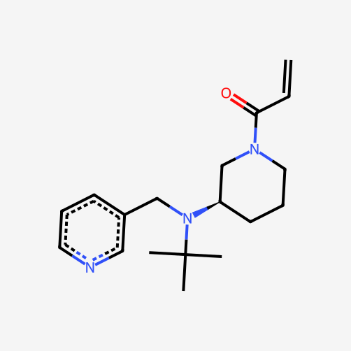 C=CC(=O)N1CCC[C@@H](N(Cc2cccnc2)C(C)(C)C)C1